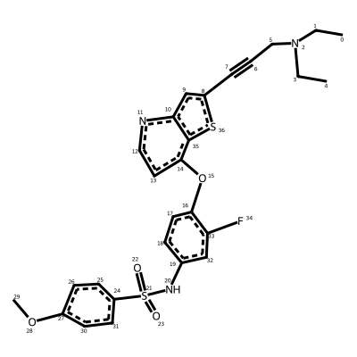 CCN(CC)CC#Cc1cc2nccc(Oc3ccc(NS(=O)(=O)c4ccc(OC)cc4)cc3F)c2s1